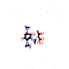 CC(=O)CC(=O)O.O=C1C=C(N2CC2)C(=O)C(N2CC2)=C1N1CC1.[Y]